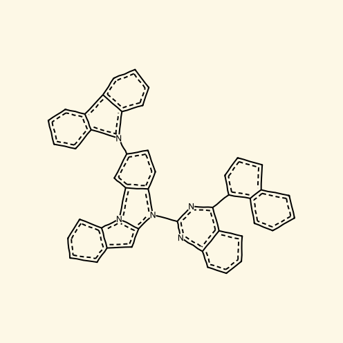 c1ccc2c(-c3nc(-n4c5ccc(-n6c7ccccc7c7ccccc76)cc5n5c6ccccc6cc45)nc4ccccc34)cccc2c1